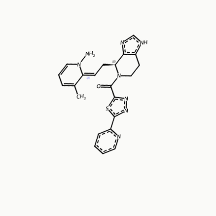 CC1=CC=CN(N)/C1=C\C[C@H]1c2nc[nH]c2CCN1C(=O)c1nnc(-c2ccccn2)s1